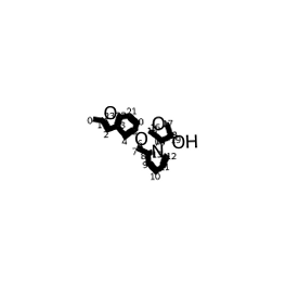 Cc1cc2cc(OCC3C=CC=CN3[C@@H]3COC[C@@H]3O)ccc2o1